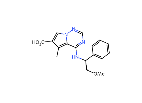 COC[C@@H](Nc1ncnn2cc(C(=O)O)c(C)c12)c1ccccc1